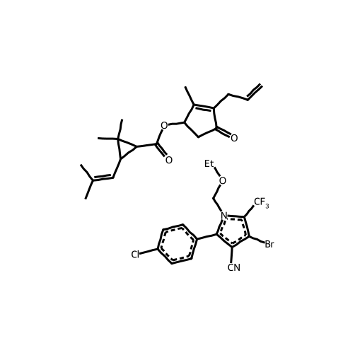 C=CCC1=C(C)C(OC(=O)C2C(C=C(C)C)C2(C)C)CC1=O.CCOCn1c(-c2ccc(Cl)cc2)c(C#N)c(Br)c1C(F)(F)F